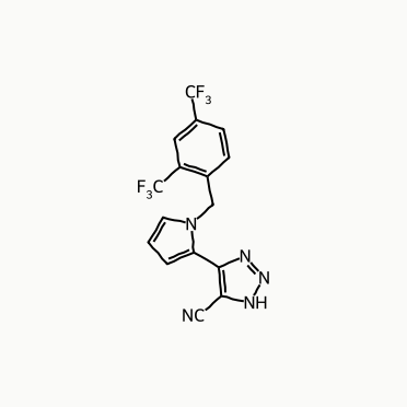 N#Cc1[nH]nnc1-c1cccn1Cc1ccc(C(F)(F)F)cc1C(F)(F)F